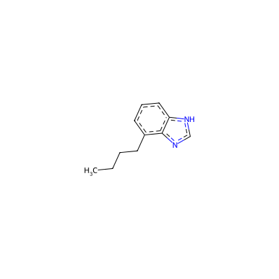 CCCCc1cccc2[nH]cnc12